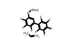 C=CC.CCCCCOc1cc(-c2c(F)c(F)c(F)c(F)c2F)c(F)c(F)c1F